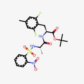 Cc1cc(F)c(C[C@H](NC(=O)[C@H](C)NS(=O)(=O)c2ccccc2[N+](=O)[O-])C(=O)OC(C)(C)C)c(F)c1